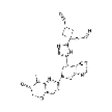 CN1C(=O)COc2ccc(-c3cc(-c4cnn(C5(CC#N)CC(C#N)C5)n4)c4cccnc4c3)nc21